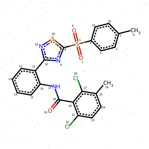 Cc1ccc(S(=O)(=O)c2nc(-c3ccccc3NC(=O)c3c(Cl)ccc(C)c3Cl)ns2)cc1